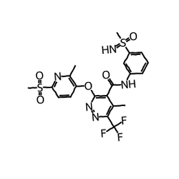 Cc1nc(S(C)(=O)=O)ccc1Oc1nnc(C(F)(F)F)c(C)c1C(=O)Nc1cccc(S(C)(=N)=O)c1